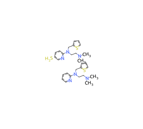 CN(C)CCN(Cc1cccs1)c1ccccn1.CN(C)CCN(Cc1cccs1)c1ccccn1.S